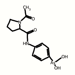 CC(=O)N1CCCC1C(=O)Nc1ccc([As](O)O)cc1